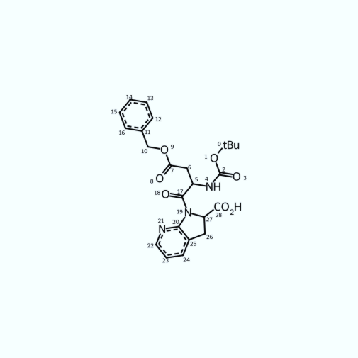 CC(C)(C)OC(=O)NC(CC(=O)OCc1ccccc1)C(=O)N1c2ncccc2CC1C(=O)O